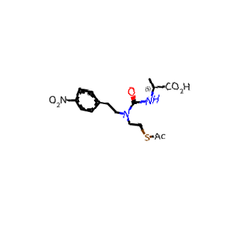 CC(=O)SCCN(CCc1ccc([N+](=O)[O-])cc1)C(=O)N[C@@H](C)C(=O)O